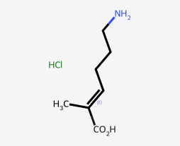 C/C(=C\CCCN)C(=O)O.Cl